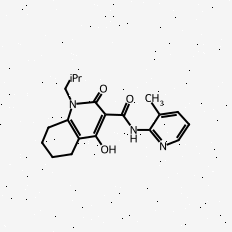 Cc1cccnc1NC(=O)c1c(O)c2c(n(CC(C)C)c1=O)CCCC2